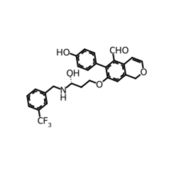 O=Cc1c2c(cc(OCC[C@@H](O)NCc3cccc(C(F)(F)F)c3)c1-c1ccc(O)cc1)COC=C2